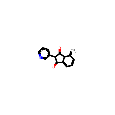 C=C1C=CC=C2C(=O)C(c3cccnc3)C(=O)C12